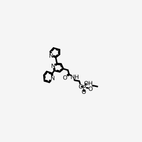 CCOP(=O)(O)OCCNC(=O)Cc1cc(-c2ccccn2)nc(-c2ccccn2)c1